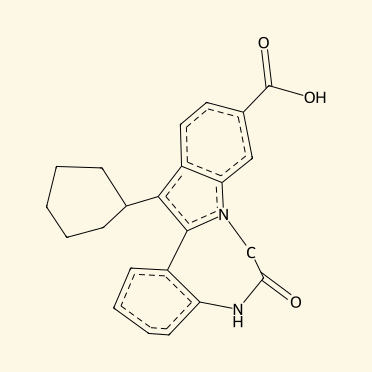 O=C1Cn2c(c(C3CCCCC3)c3ccc(C(=O)O)cc32)-c2ccccc2N1